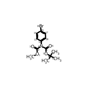 COC(=O)N(C(=O)OC(C)(C)C)c1ccc(Br)cc1